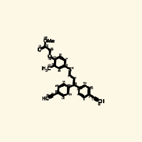 C#Cc1ccc(C(=CCSc2ccc(OCC(=O)OC)c(C)c2)c2ccc(C#C)cc2)cc1